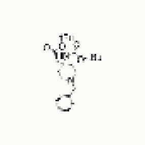 CC(C)(C)OC(=O)CC1(NC(=O)OC(C)(C)C)CCN(Cc2ccccc2)CC1